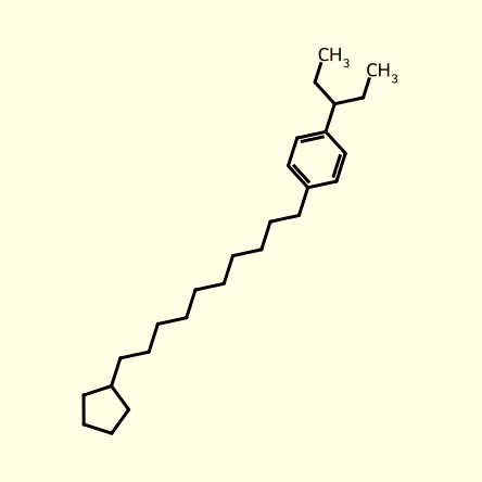 CCC(CC)c1ccc(CCCCCCCCCCC2CCCC2)cc1